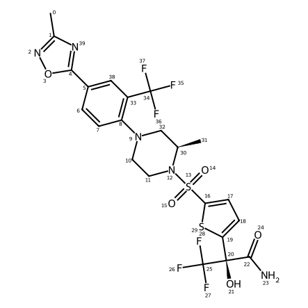 Cc1noc(-c2ccc(N3CCN(S(=O)(=O)c4ccc([C@](O)(C(N)=O)C(F)(F)F)s4)[C@H](C)C3)c(C(F)(F)F)c2)n1